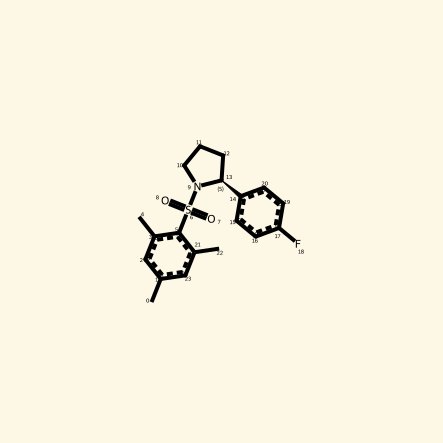 Cc1cc(C)c(S(=O)(=O)N2CCC[C@H]2c2ccc(F)cc2)c(C)c1